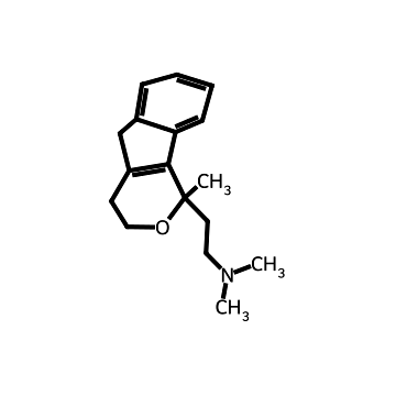 CN(C)CCC1(C)OCCC2=C1c1ccccc1C2